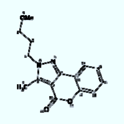 COCCCn1nc2c(c1C)c(=O)oc1ccccc12